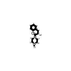 C[C@@H](Cc1ccccc1)C(=O)N1CCN(C)CC1